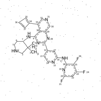 CC1(C)CNCCC1Nc1nc(-c2ccnc(Nc3nc(F)cc(F)c3F)c2)nc2cncc(C3=CC=C3)c12